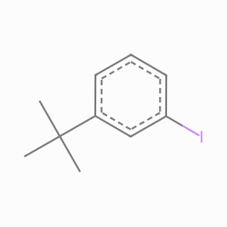 CC(C)(C)c1cccc(I)c1